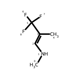 CN/C=C(\C)C(F)(F)F